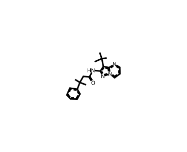 CC(C)(C)c1c(NC(=O)CC(C)(C)c2ccccc2)nn2cccnc12